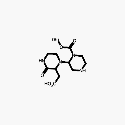 CC(C)(C)OC(=O)N1CCNCC1N1CCNC(=O)C1CC(=O)O